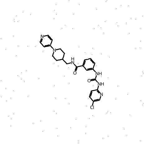 O=C(Nc1cccc(C(=O)NCC2CCN(c3ccncc3)CC2)c1)Nc1ccc(Cl)cn1